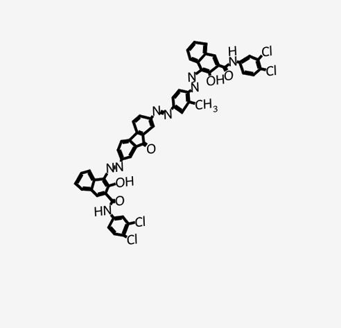 Cc1cc(N=Nc2ccc3c(c2)C(=O)c2cc(N=Nc4c(O)c(C(=O)Nc5ccc(Cl)c(Cl)c5)cc5ccccc45)ccc2-3)ccc1N=Nc1c(O)c(C(=O)Nc2ccc(Cl)c(Cl)c2)cc2ccccc12